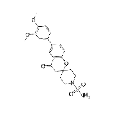 COc1ccc(-c2ccc3c(c2)C(=O)CC2(CCN(S(N)(=O)=O)CC2)O3)cc1OC